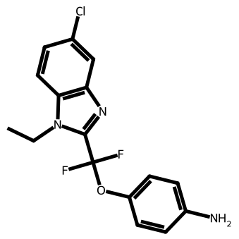 CCn1c(C(F)(F)Oc2ccc(N)cc2)nc2cc(Cl)ccc21